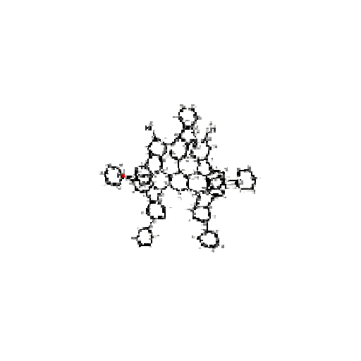 N#Cc1ccc2c(c1)c1cc(C#N)ccc1n2-c1c(-n2c3ccc(-c4ccccc4)cc3c3cc(-c4ccccc4)ccc32)nc(-n2c3ccc(-c4ccccc4)cc3c3cc(-c4ccccc4)ccc32)c(-n2c3ccc(C#N)cc3c3cc(C#N)ccc32)c1-c1ccc2c(c1)sc1ccccc12